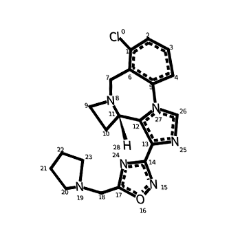 Clc1cccc2c1CN1CC[C@H]1c1c(-c3noc(CN4CCCC4)n3)ncn1-2